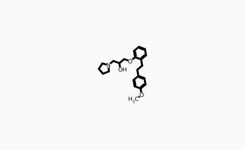 COc1ccc(CCc2ccccc2OCC(O)CN2CCCC2)cc1